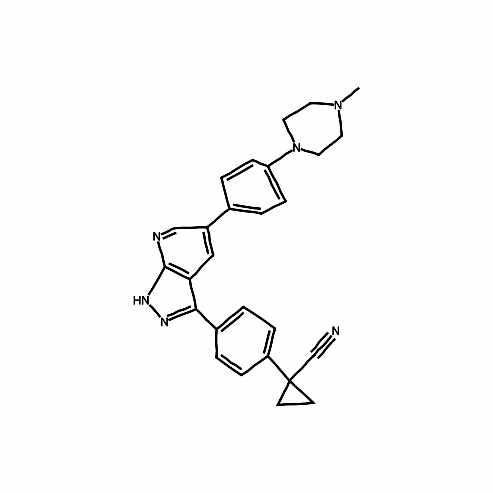 CN1CCN(c2ccc(-c3cnc4[nH]nc(-c5ccc(C6(C#N)CC6)cc5)c4c3)cc2)CC1